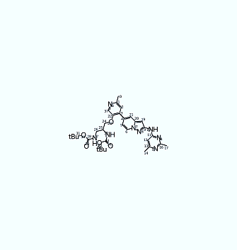 Cc1cc(-c2ccn3nc(Nc4cc(C)nc(C)n4)cc3c2)c(OCC(CNC(=O)OC(C)(C)C)NC(=O)OC(C)(C)C)cn1